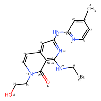 Cc1ccnc(Nc2cc3ccn(CCO)c(=O)c3c(NCC(C)(C)C)n2)c1